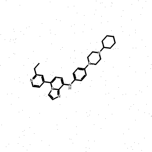 CCc1cc(-c2ccc(Nc3ccc(N4CCN(C5CCCCC5)CC4)cc3)c3nccn23)ccn1